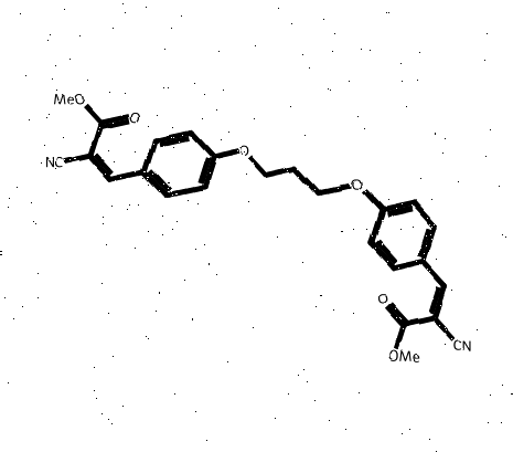 COC(=O)C(C#N)=Cc1ccc(OCCCOc2ccc(C=C(C#N)C(=O)OC)cc2)cc1